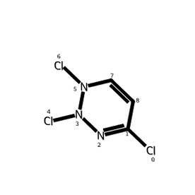 ClC1=NN(Cl)N(Cl)C=C1